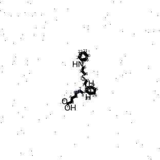 O=C(O)CCC/C=C\C[C@@H]1[C@@H](CCSCCCNc2ccccc2)[C@@H]2CC[C@H]1O2